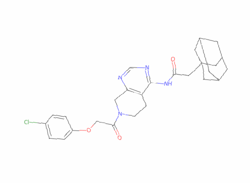 O=C(CC12CC3CC(CC(C3)C1)C2)Nc1ncnc2c1CCN(C(=O)COc1ccc(Cl)cc1)C2